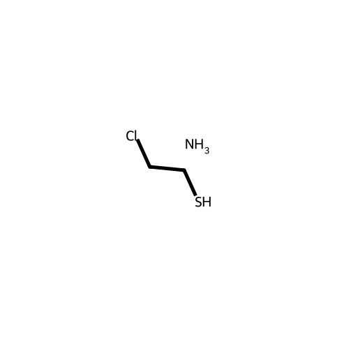 N.SCCCl